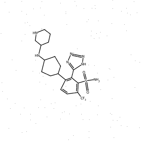 NS(=O)(=O)c1c(C(F)(F)F)ccc(C2CCC(NC3CCCNC3)CC2)c1-c1nnn[nH]1